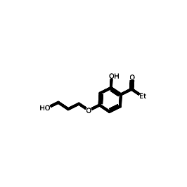 CCC(=O)c1ccc(OCCCO)cc1O